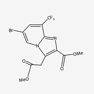 COC(=O)Cc1c(C(=O)OC)nc2c(C(F)(F)F)cc(Br)cn12